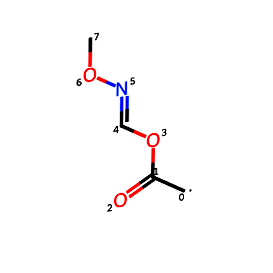 [CH2]C(=O)OC=NOC